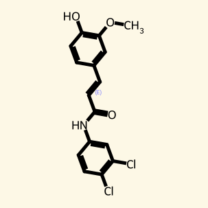 COc1cc(/C=C/C(=O)Nc2ccc(Cl)c(Cl)c2)ccc1O